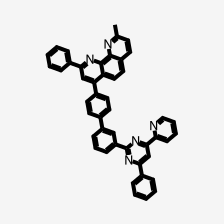 Cc1ccc2ccc3c(-c4ccc(-c5cccc(-c6nc(-c7ccccc7)cc(-c7ccccn7)n6)c5)cc4)cc(-c4ccccc4)nc3c2n1